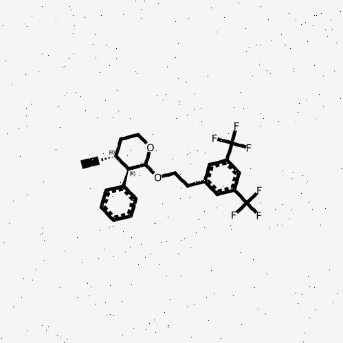 C#C[C@@H]1CCOC(OCCc2cc(C(F)(F)F)cc(C(F)(F)F)c2)[C@H]1c1ccccc1